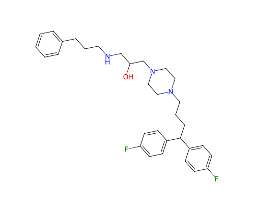 OC(CNCCCc1ccccc1)CN1CCN(CCCC(c2ccc(F)cc2)c2ccc(F)cc2)CC1